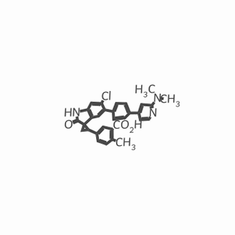 Cc1ccc(C2CC23C(=O)Nc2cc(Cl)c(-c4ccc(-c5ccnc(N(C)C)c5)cc4)cc23)cc1C(=O)O